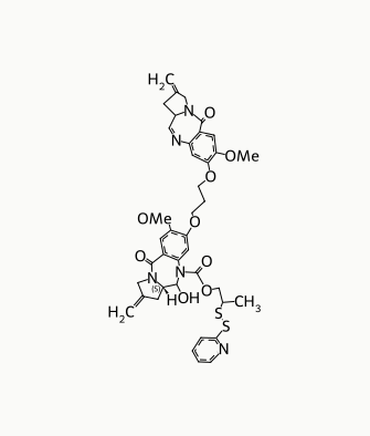 C=C1CC2C=Nc3cc(OCCCOc4cc5c(cc4OC)C(=O)N4CC(=C)C[C@H]4C(O)N5C(=O)OCC(C)SSc4ccccn4)c(OC)cc3C(=O)N2C1